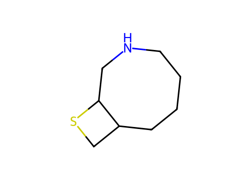 C1CCC2CSC2CNC1